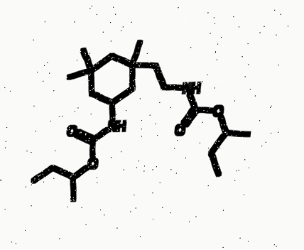 CCC(C)OC(=O)NCCC1(C)CC(NC(=O)OC(C)CC)CC(C)(C)C1